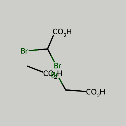 CC(=O)O.O=C(O)C(Br)Br.O=C(O)CBr